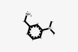 CN(C)c1cc[c]c(CN)c1